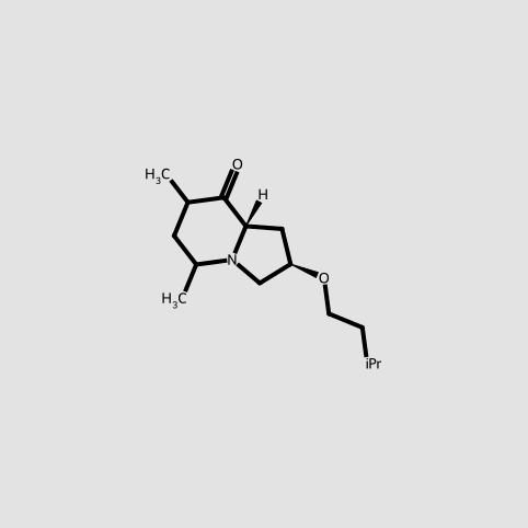 CC(C)CCO[C@@H]1C[C@H]2C(=O)C(C)CC(C)N2C1